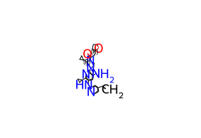 C=Cc1ccnc(Nc2cc(N)c(N3CCN(C(=O)C[C@H]4CCCO4)[C@H](C4CC4)C3)nc2C2CC2)c1